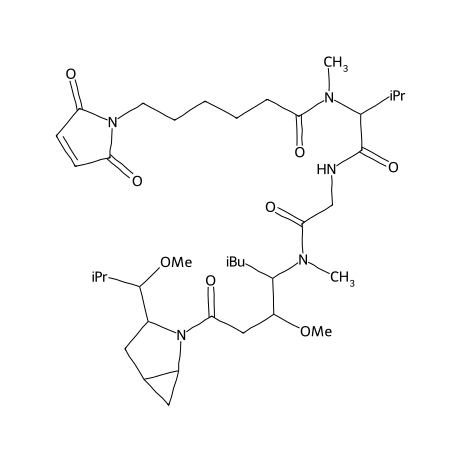 CCC(C)C(C(CC(=O)N1C2CC2CC1C(OC)C(C)C)OC)N(C)C(=O)CNC(=O)C(C(C)C)N(C)C(=O)CCCCCN1C(=O)C=CC1=O